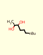 CCCCCCC[C@H](O)[C@H](C)O